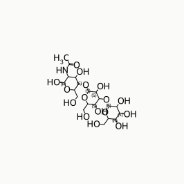 CC(=O)NC1C(O)[C@H](O[C@@H]2OC(CO)[C@H](O)C(O[C@H]3OC(CO)[C@H](O)[C@H](O)C3O)[C@@H]2O)C(CO)O[C@H]1O